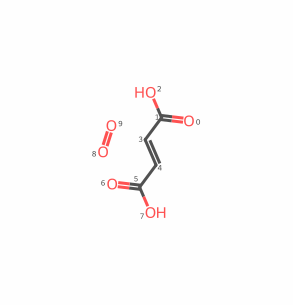 O=C(O)C=CC(=O)O.O=O